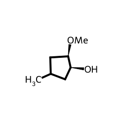 CO[C@@H]1CC(C)C[C@@H]1O